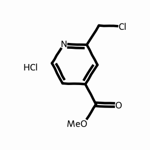 COC(=O)c1ccnc(CCl)c1.Cl